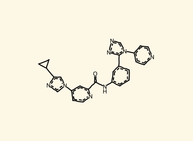 O=C(Nc1cccc(-c2nncn2-c2ccncc2)c1)c1cc(-n2cnc(C3CC3)c2)ccn1